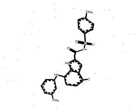 COc1ccc(S(=O)(=O)NC(=O)c2cc3c(Cl)ccc(Nc4cccc(OC)c4)c3[nH]2)cc1